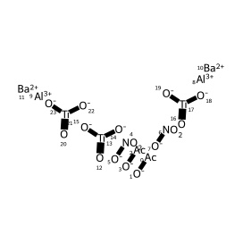 CC(=O)[O-].CC(=O)[O-].O=[N+]([O-])[O-].O=[N+]([O-])[O-].[Al+3].[Al+3].[Ba+2].[Ba+2].[O]=[Ti]([O-])[O-].[O]=[Ti]([O-])[O-].[O]=[Ti]([O-])[O-]